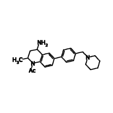 CC(=O)N1c2ccc(-c3ccc(CN4CCCCC4)cc3)cc2C(N)CC1C